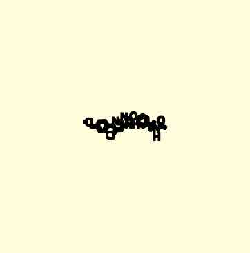 COCc1ccc(-c2nc3nc(Oc4ccc(C(C)(C)NC(C)=O)cc4)[nH]c3cc2Cl)cc1